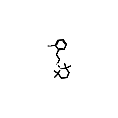 CC1(C)CCCC(C)(C)N1OCCc1ccccc1O